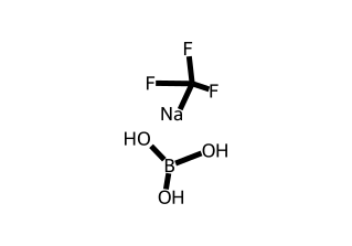 F[C](F)(F)[Na].OB(O)O